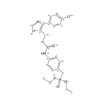 CCOP(=O)(Cc1ccc(NC(=O)CCc2ocnc2-c2ccc(Cl)cc2)cc1)OCC